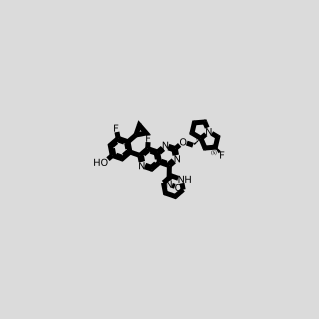 Oc1cc(F)c(C2CC2)c(-c2ncc3c(N4CC5CCC4CN5)nc(OC[C@]45CCCN4C[C@@H](F)C5)nc3c2F)c1